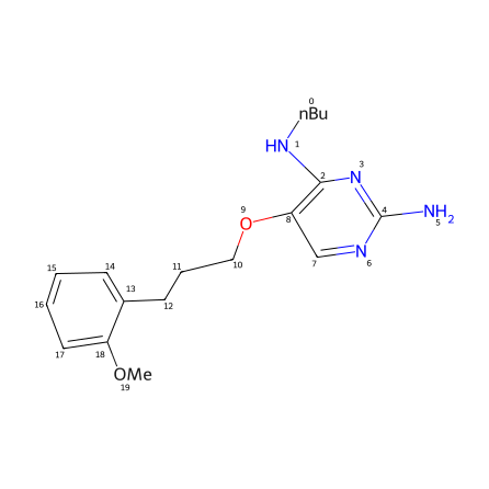 CCCCNc1nc(N)ncc1OCCCc1ccccc1OC